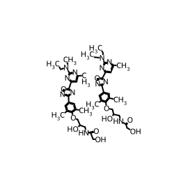 CCN(CC)c1nc(C)cc(-c2nc(-c3cc(C)c(OCC(O)CNC(=O)CO)c(C)c3)no2)n1.CCN(CC)c1nc(C)cc(-c2nc(-c3cc(C)c(OCC(O)CNC(=O)CO)c(C)c3)no2)n1